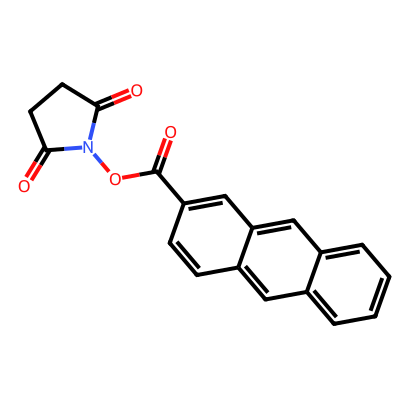 O=C(ON1C(=O)CCC1=O)c1ccc2cc3ccccc3cc2c1